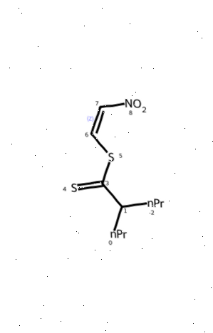 CCCC(CCC)C(=S)S/C=C\[N+](=O)[O-]